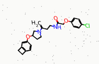 C=C(CCNC(=O)COc1ccc(Cl)cc1)N1CCC(Oc2ccc3c(c2)CC3)C1